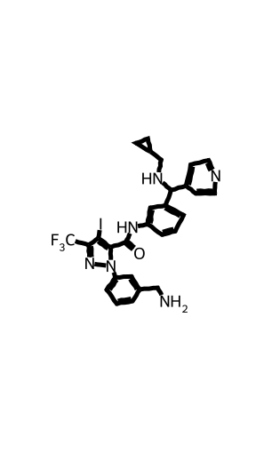 NCc1cccc(-n2nc(C(F)(F)F)c(I)c2C(=O)Nc2cccc(C(NCC3CC3)c3ccncc3)c2)c1